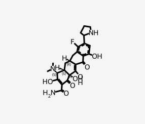 CN(C)[C@@H]1C(O)=C(C(N)=O)C(=O)[C@@]2(O)C(O)=C3C(=O)c4c(O)cc(C5CCCN5)c(F)c4C[C@H]3C[C@@H]12